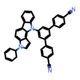 N#Cc1ccc(-c2cc(-c3ccc(C#N)cc3)cc(-n3c4ccccc4c4ccc5c(ccn5C5C=CC=CC5)c43)c2)cc1